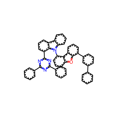 c1ccc(-c2cccc(-c3cccc4c3oc3cccc(-n5c6ccccc6c6cccc(-c7nc(-c8ccccc8)nc(-c8ccccc8)n7)c65)c34)c2)cc1